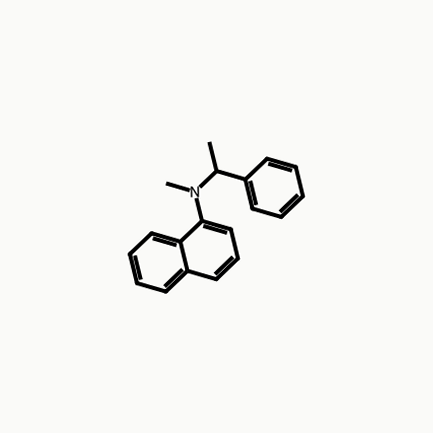 CC(c1ccccc1)N(C)c1cccc2ccccc12